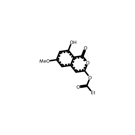 CCC(=O)Oc1cc2cc(OC)cc(O)c2c(=O)o1